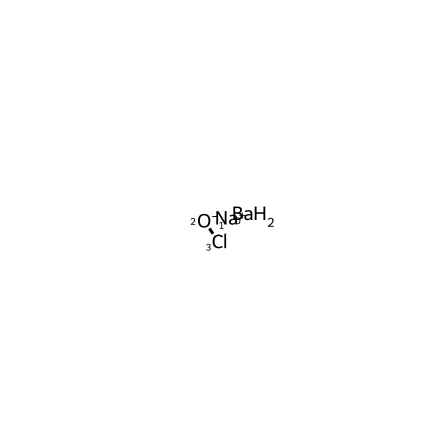 [BaH2].[Na+].[O-]Cl